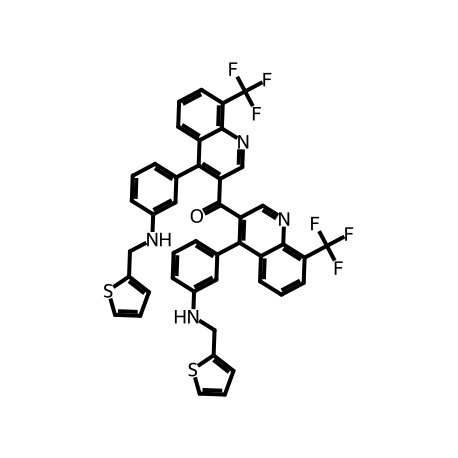 O=C(c1cnc2c(C(F)(F)F)cccc2c1-c1cccc(NCc2cccs2)c1)c1cnc2c(C(F)(F)F)cccc2c1-c1cccc(NCc2cccs2)c1